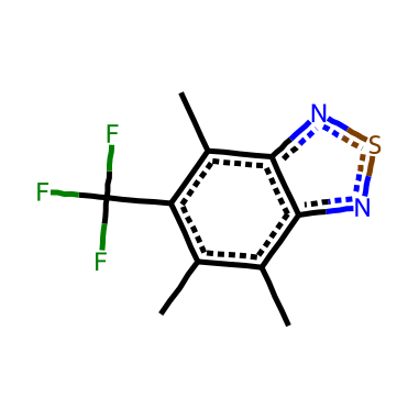 Cc1c(C(F)(F)F)c(C)c2nsnc2c1C